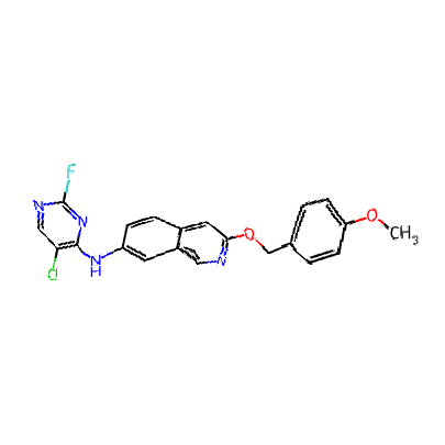 COc1ccc(COc2cc3ccc(Nc4nc(F)ncc4Cl)cc3cn2)cc1